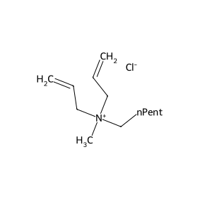 C=CC[N+](C)(CC=C)CCCCCC.[Cl-]